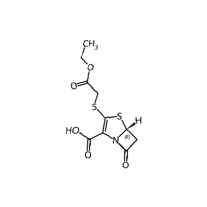 CCOC(=O)CSC1=C(C(=O)O)N2C(=O)C[C@H]2S1